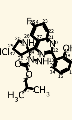 CC(C)COC(=O)N(N)[C@@]1(c2nc(-c3ccccc3O)nc3ccc(F)cc23)CCCN1.Cl